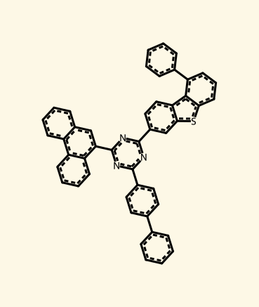 c1ccc(-c2ccc(-c3nc(-c4ccc5c(c4)sc4cccc(-c6ccccc6)c45)nc(-c4cc5ccccc5c5ccccc45)n3)cc2)cc1